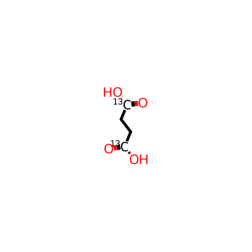 O=[13C](O)CC[13C](=O)O